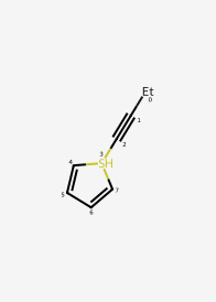 CCC#C[SH]1C=CC=C1